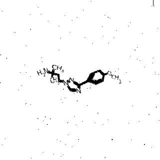 COc1ccc(-c2ncn(CCC(C)(C)N)n2)cc1